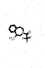 CC1CN(C(=O)C(F)(F)F)CCc2ccccc21